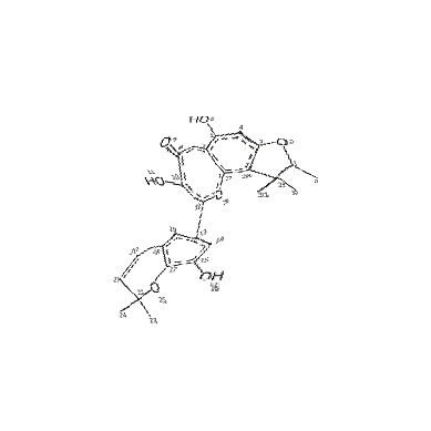 CC1Oc2cc(O)c3c(=O)c(O)c(-c4cc(O)c5c(c4)C=CC(C)(C)O5)oc3c2C1(C)C